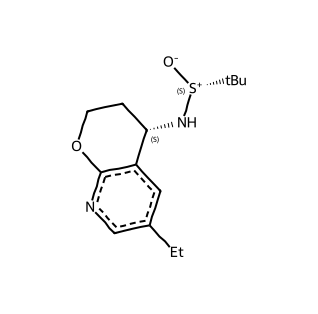 CCc1cnc2c(c1)[C@@H](N[S@+]([O-])C(C)(C)C)CCO2